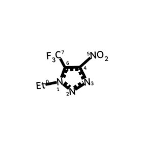 CCn1nnc([N+](=O)[O-])c1C(F)(F)F